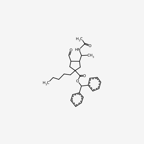 CCCCCC1(C(=O)OC(c2ccccc2)c2ccccc2)CC(C=O)C(C(C)NC(C)=O)C1